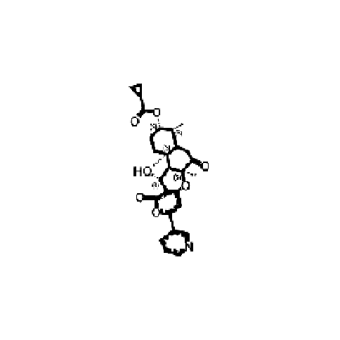 C[C@@H]1C2CC(=O)[C@@]3(C)Oc4cc(-c5cccnc5)oc(=O)c4[C@H](O)C3[C@@]2(C)CC[C@@H]1OC(=O)C1CC1